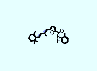 CC1=C(/C=C/C(C)=C/c2ccc(C(=O)Nc3ccccc3C)o2)C(C)(C)CCC1